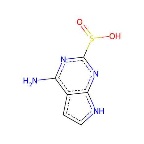 Nc1nc(S(=O)O)nc2[nH]ccc12